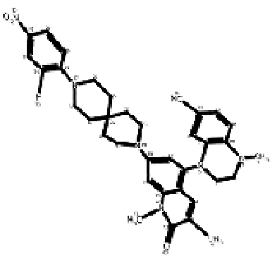 Cc1cc2c(N3CCN(C)c4ccc(C#N)cc43)cc(N3CCC4(CC3)CCN(c3ccc([N+](=O)[O-])cc3F)CC4)cc2n(C)c1=O